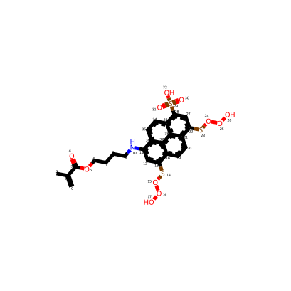 C=C(C)C(=O)OCCCCNc1cc(SOOO)c2ccc3c(SOOO)cc(S(=O)(=O)O)c4ccc1c2c34